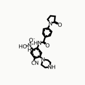 N#Cc1cc([NH+]([O-])O)c(NC(=O)c2ccc(N3CCCC3=O)cc2)cc1N1CCNCC1